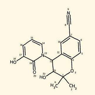 CC1(C)Oc2ccc(C#N)cc2C(n2cccc(O)c2=O)C1O